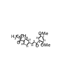 COc1ccc(OC)c(C(=O)C=Cc2ccc(C(=O)N(C)C)cc2)c1